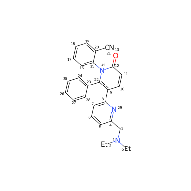 CCN(CC)Cc1cccc(-c2ccc(=O)n(-c3ccccc3C#N)c2-c2ccccc2)n1